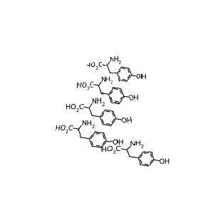 NC(Cc1ccc(O)cc1)C(=O)O.NC(Cc1ccc(O)cc1)C(=O)O.NC(Cc1ccc(O)cc1)C(=O)O.NC(Cc1ccc(O)cc1)C(=O)O.NC(Cc1ccc(O)cc1)C(=O)O